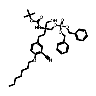 CCCCCCCOc1ccc(CCC(CO)(COP(=O)(OCc2ccccc2)OCc2ccccc2)NC(=O)OC(C)(C)C)cc1C#N